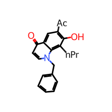 CCCc1c(O)c(C(C)=O)cc2c(=O)ccn(Cc3ccccc3)c12